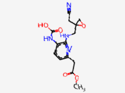 COC(=O)Cc1ccc(NC(=O)O)c(NCC2(CC#N)CO2)n1